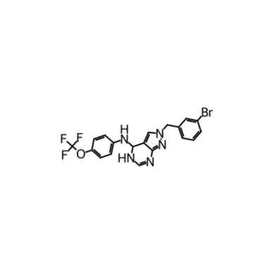 FC(F)(F)Oc1ccc(NC2NC=Nc3nn(Cc4cccc(Br)c4)cc32)cc1